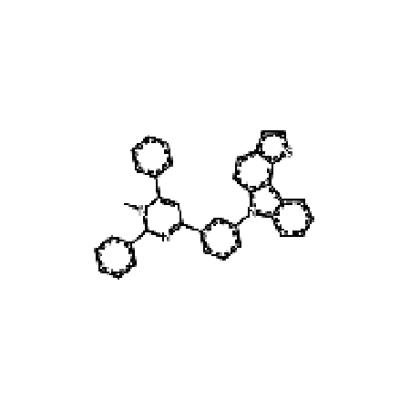 CN1C(c2ccccc2)=CC(c2cccc(-n3c4ccccc4c4c5sccc5ccc43)c2)=NC1c1ccccc1